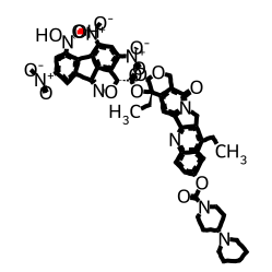 CCc1c2c(nc3ccc(OC(=O)N4CCC(N5CCCCC5)CC4)cc13)-c1cc3c(c(=O)n1C2)COC(=O)[C@@]3(CC)OC(=O)[C@@H]1ON=C2c3cc([N+](=O)[O-])cc(N(O)O)c3-c3c([N+](=O)[O-])cc([N+](=O)[O-])c1c32